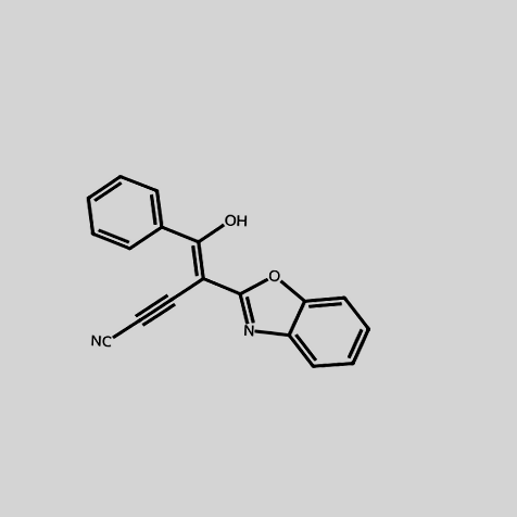 N#CC#C/C(=C(/O)c1ccccc1)c1nc2ccccc2o1